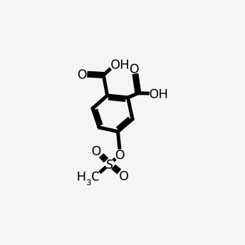 CS(=O)(=O)Oc1ccc(C(=O)O)c(C(=O)O)c1